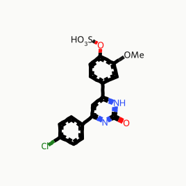 COc1cc(-c2cc(-c3ccc(Cl)cc3)nc(=O)[nH]2)ccc1OS(=O)(=O)O